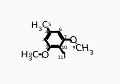 COc1cc(C)cc(OC)c1I